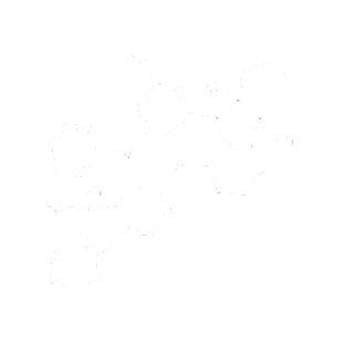 Cc1cc2c3c(c1)N1c4c(cccc4C4(C)CCCCC14C)B3c1ccc3c(c1N2c1ccccc1)C(C)(C)c1ccccc1-3